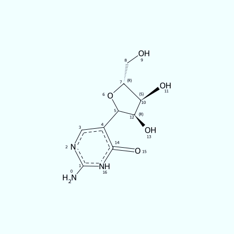 Nc1ncc(C2O[C@H](CO)[C@@H](O)[C@H]2O)c(=O)[nH]1